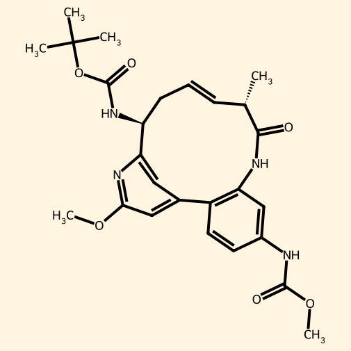 COC(=O)Nc1ccc2c(c1)NC(=O)[C@@H](C)/C=C/C[C@H](NC(=O)OC(C)(C)C)c1cc-2cc(OC)n1